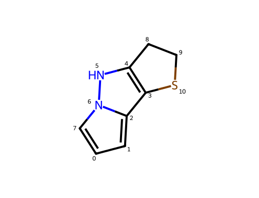 c1cc2c3c([nH]n2c1)CCS3